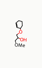 COCC(O)COC1C=CCCC1